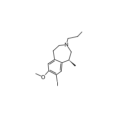 CCCN1CCc2cc(OC)c(I)cc2[C@H](C)C1